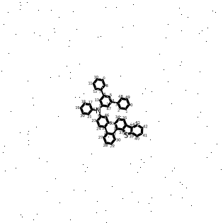 c1ccc(-c2cc(-c3ccccc3)cc(N(c3ccccc3)c3ccc(-c4ccccc4-c4cccc5c4sc4ccccc45)cc3)c2)cc1